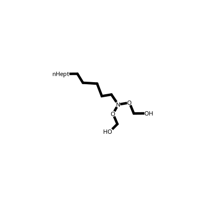 CCCCCCCCCCCCN(OCO)OCO